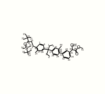 CCC(CC)(c1ccc(CC[C@@H](O[Si](C)(C)C(C)(C)C)C(C)(C)C)c(C)c1)c1ccc(-c2cccc(C(O)C(=O)OC)c2)c(C)c1